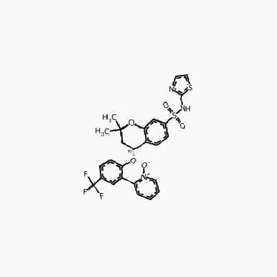 CC1(C)C[C@@H](Oc2ccc(C(F)(F)F)cc2-c2cccc[n+]2[O-])c2ccc(S(=O)(=O)Nc3nccs3)cc2O1